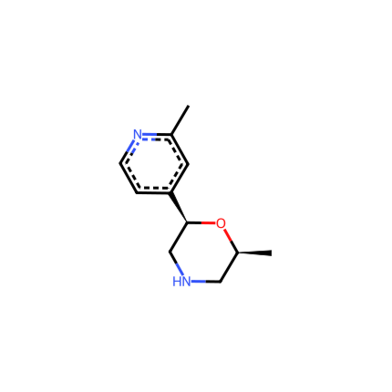 Cc1cc([C@@H]2CNC[C@H](C)O2)ccn1